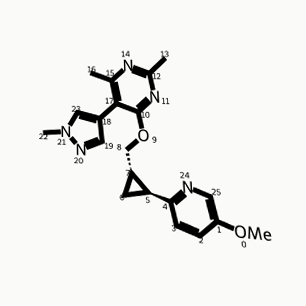 COc1ccc([C@H]2C[C@@H]2COc2nc(C)nc(C)c2-c2cnn(C)c2)nc1